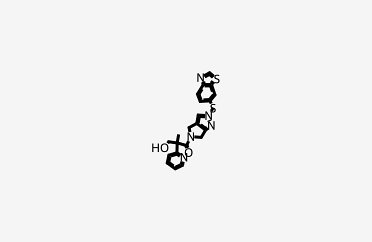 CC(CO)(C(=O)N1Cc2cn(Sc3ccc4ncsc4c3)nc2C1)c1ccccn1